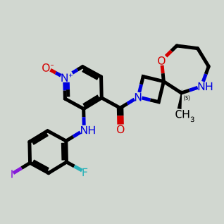 C[C@@H]1NCCCOC12CN(C(=O)c1cc[n+]([O-])cc1Nc1ccc(I)cc1F)C2